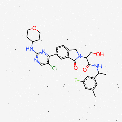 Cc1cc(F)cc(C(C)NC(=O)C(CO)N2Cc3ccc(-c4nc(NC5CCOCC5)ncc4Cl)cc3C2=O)c1